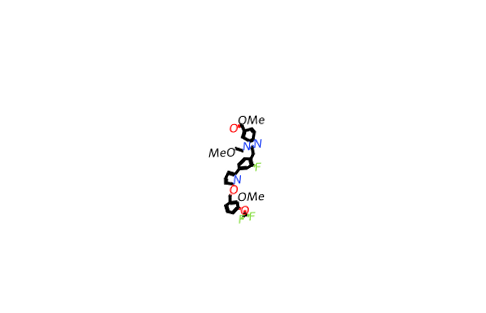 COCCn1c(Cc2ccc(-c3cccc(OCc4cccc(OC(F)F)c4OC)n3)cc2F)nc2ccc(C(=O)OC)cc21